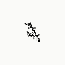 C#CCNC(=O)[C@H](CCCCNC(=O)CC(C)(C)OCC)NC(=O)CC(C)(C)OCC